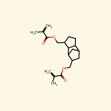 C=C(C)C(=O)OCC1CC2CC1C1C(COC(=O)C(=C)C)CCC21